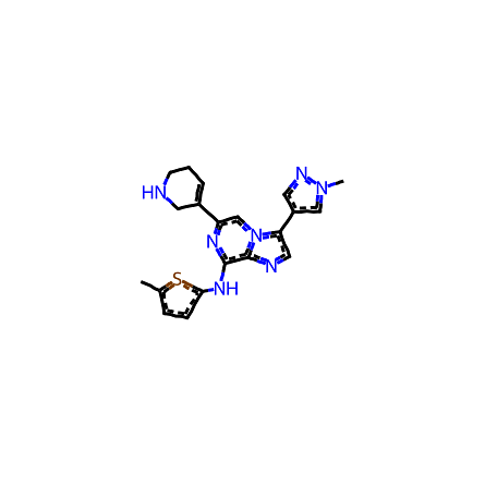 Cc1ccc(Nc2nc(C3=CCCNC3)cn3c(-c4cnn(C)c4)cnc23)s1